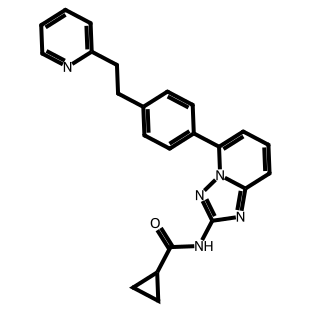 O=C(Nc1nc2cccc(-c3ccc(CCc4ccccn4)cc3)n2n1)C1CC1